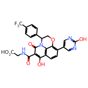 O=C(O)CNC(=O)c1c(O)c2ccc(-c3cnc(O)nc3)c3c2n(c1=O)C(c1ccc(C(F)(F)F)cc1)CO3